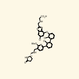 COc1nc(-c2cccc(-c3cccc(Oc4cc(Cl)cc5sc(CNCC(=O)O)nc45)c3Cl)c2Cl)ccc1CNC[C@@H]1CCC(=O)N1